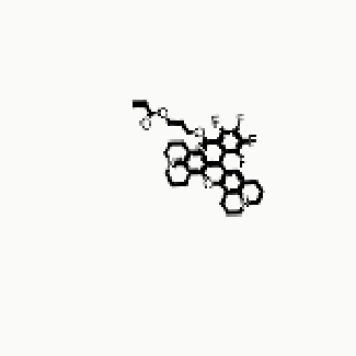 C=CC(=O)OCCCOC(=O)c1c(F)c(F)c(F)c(F)c1C1=c2cc3c4c(c2Oc2c1cc1c5c2CCCN5CCC1)CCC[N+]=4CCC3